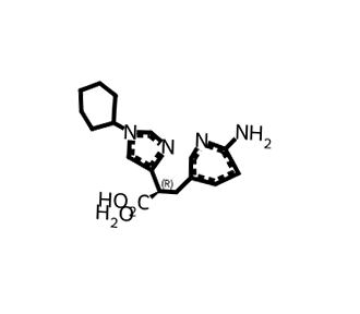 Nc1ccc(C[C@@H](C(=O)O)c2cn(C3CCCCC3)cn2)cn1.O